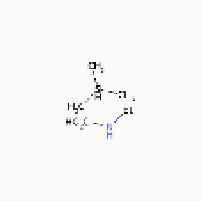 CCNC(=O)O.C[SiH](C)C